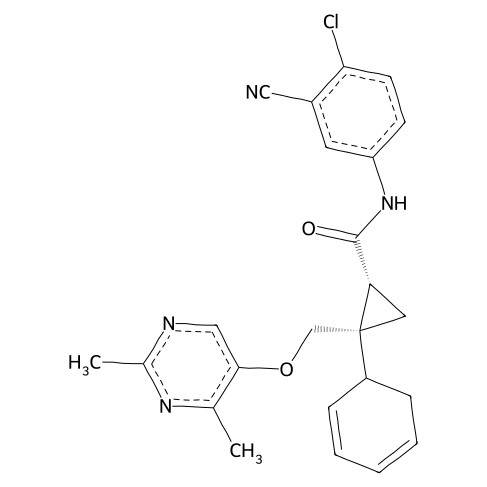 Cc1ncc(OC[C@@]2(C3C=CC=CC3)C[C@H]2C(=O)Nc2ccc(Cl)c(C#N)c2)c(C)n1